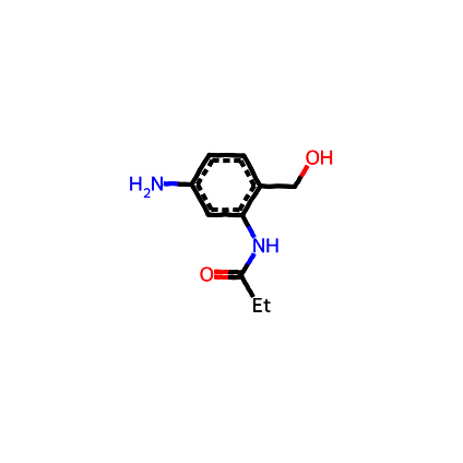 CCC(=O)Nc1cc(N)ccc1CO